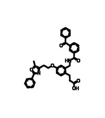 Cc1oc(-c2ccccc2)nc1CCOc1ccc(CCC(=O)O)c(CNC(=O)c2cccc(C(=O)c3ccccc3)c2)c1